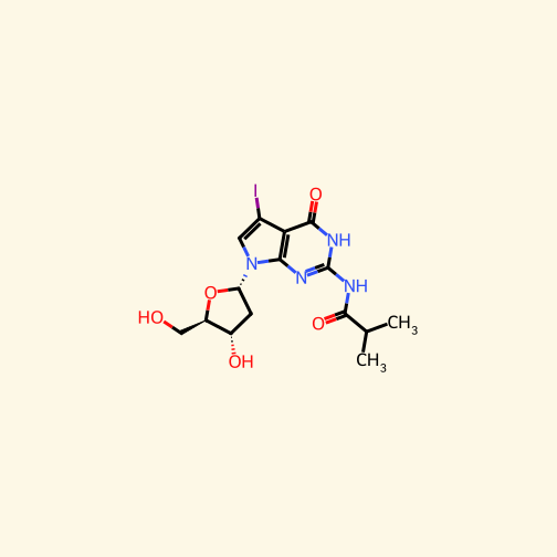 CC(C)C(=O)Nc1nc2c(c(I)cn2[C@@H]2C[C@H](O)[C@@H](CO)O2)c(=O)[nH]1